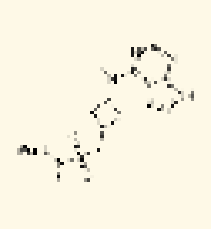 CCCC(C)N(C)S(=O)(=O)CC1CC(N(C)c2ncnc3[nH]ccc23)C1